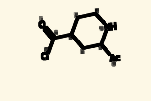 CC(=O)C1CC(C(=O)Cl)CCN1